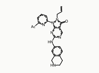 C=CCn1c(=O)c2cnc(Nc3ccc4c(c3)CNCC4)nc2n1-c1cccc(C(C)=O)n1